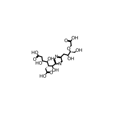 O=C(O)CO[C@@H](CO)[C@@H](O)Cc1cnc(C(O)[C@H](CC(=O)O)[C@H](O)[C@@H](O)CC(=O)O)cn1